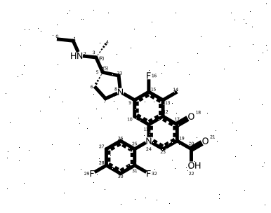 CCN[C@H](C)[C@H]1CCN(c2cc3c(c(C)c2F)c(=O)c(C(=O)O)cn3-c2ccc(F)cc2F)C1